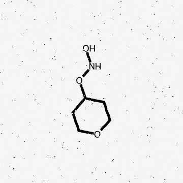 ONOC1CCOCC1